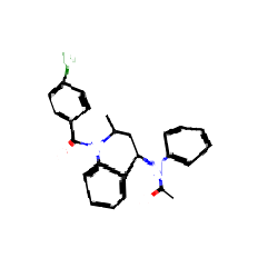 CC(=O)N(c1ccccc1)C1CC(C)N(C(=O)c2ccc(Br)cc2)c2ccccc21